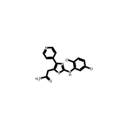 NC(=O)Cc1sc(Nc2cc(Cl)ccc2Cl)nc1-c1ccncc1